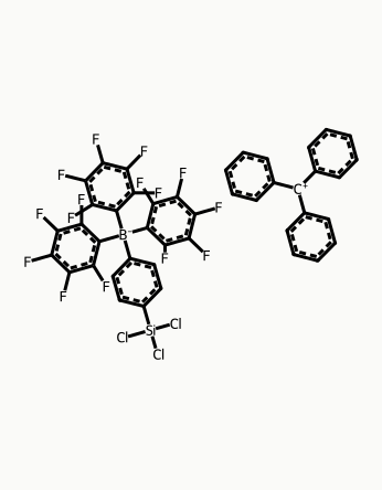 Fc1c(F)c(F)c([B-](c2ccc([Si](Cl)(Cl)Cl)cc2)(c2c(F)c(F)c(F)c(F)c2F)c2c(F)c(F)c(F)c(F)c2F)c(F)c1F.c1ccc([C+](c2ccccc2)c2ccccc2)cc1